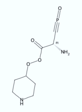 N[C@@H](C#P=O)C(=O)OOC1CCNCC1